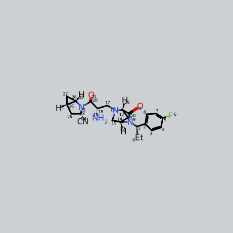 CC[C@H](c1ccc(F)cc1)N1C(=O)[C@@H]2C[C@H]1CN2C[C@H](N)C(=O)N1[C@H](C#N)C[C@@H]2C[C@@H]21